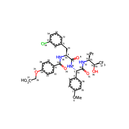 COc1ccc([C@H](NC(=O)[C@H](Cc2cccc(Cl)c2)NC(=O)c2ccc(OCC(=O)O)cc2)C(=O)N[C@@H](C(C)C)[C@H](O)C(F)(F)F)cc1